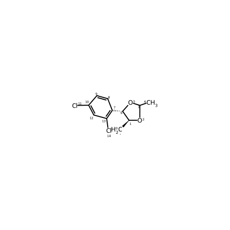 [CH2][C@@H]1OC(C)O[C@H]1c1ccc(Cl)cc1Cl